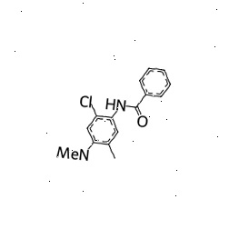 CNc1cc(Cl)c(NC(=O)c2ccccc2)cc1C